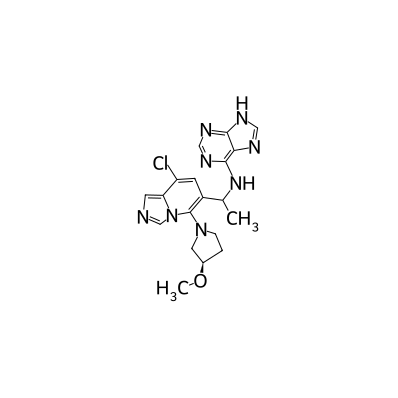 CO[C@@H]1CCN(c2c(C(C)Nc3ncnc4[nH]cnc34)cc(Cl)c3cncn23)C1